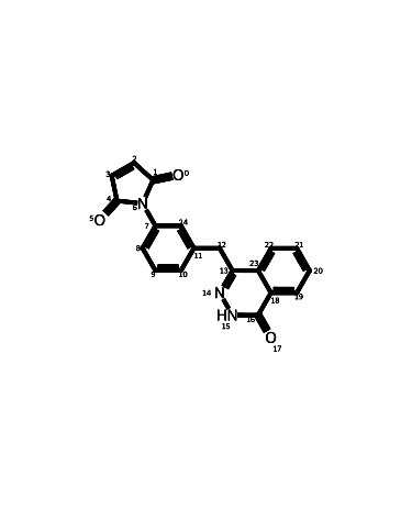 O=C1C=CC(=O)N1c1cccc(Cc2n[nH]c(=O)c3ccccc23)c1